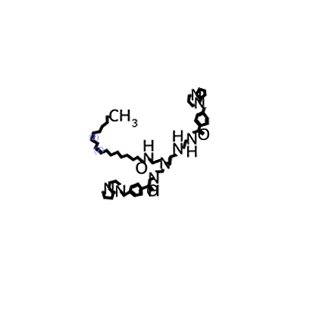 CCCCC/C=C\C/C=C\CCCCCCCC(=O)NCCN(CCCNCCNCC(=O)c1ccc(CN2CCCN3CCCC32)cc1)CCNCC(=O)c1ccc(CN2CCCN3CCCC32)cc1